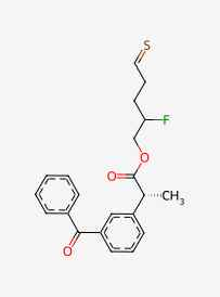 C[C@@H](C(=O)OCC(F)CCC=S)c1cccc(C(=O)c2ccccc2)c1